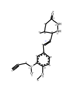 C#CC[S+]([O-])c1cc(/C=C/C2NNC(=O)CC2C)ccc1OC